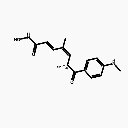 CNc1ccc(C(=O)[C@H](C)C=C(C)C=CC(=O)NO)cc1